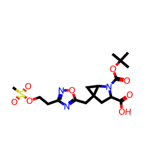 CC(C)(C)OC(=O)N1C(C(=O)O)CC2(Cc3nc(CCOS(C)(=O)=O)no3)CC12